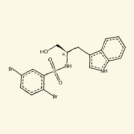 O=S(=O)(N[C@@H](CO)Cc1c[nH]c2ccccc12)c1cc(Br)ccc1Br